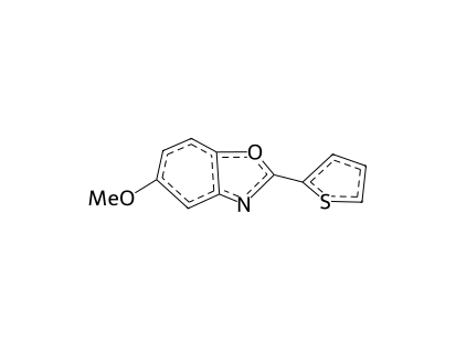 COc1ccc2oc(-c3cccs3)nc2c1